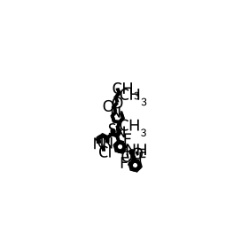 CC(C)COC(=O)N1CCC(C)(c2nc(-c3cccc(NS(=O)(=O)c4c(F)cccc4F)c3F)c(-c3ccnc(Cl)n3)s2)CC1